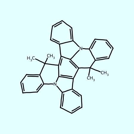 CC1(C)c2ccccc2-n2c3ccccc3c3c4c5c(c1c32)c1ccccc1n5-c1ccccc1C4(C)C